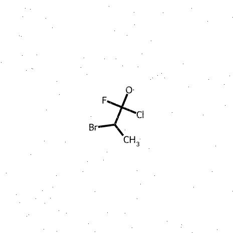 CC(Br)C([O])(F)Cl